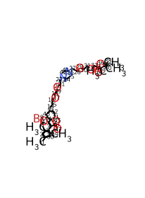 Cc1cc(C)c(C2=C(OBr)[C@]3(CC[C@H](CCCOCCOCCN4CCN(CCOCCOCC(=O)OC(C)(C)C)CC4)CC3)OC2=O)c(C)c1